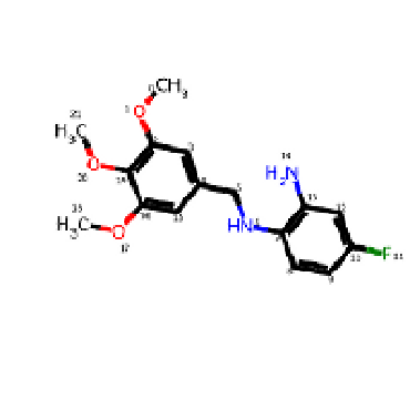 COc1cc(CNc2ccc(F)cc2N)cc(OC)c1OC